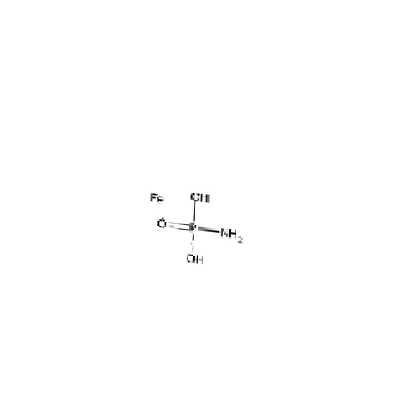 NP(=O)(O)O.[Fe]